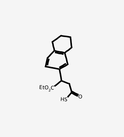 CCOC(=O)C(CC(=O)S)c1ccc2c(c1)CCCC2